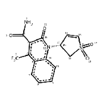 NC(=O)c1c(C(F)(F)F)c2ccccc2n([C@@H]2C=CS(=O)(=O)C2)c1=O